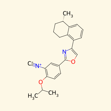 [C-]#[N+]c1cc(-c2nc(-c3cccc4c3CCC[C@@H]4C)co2)ccc1OC(C)C